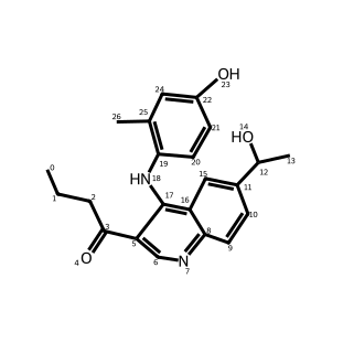 CCCC(=O)c1cnc2ccc(C(C)O)cc2c1Nc1ccc(O)cc1C